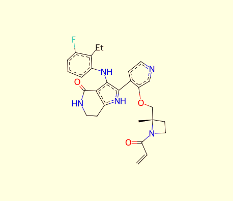 C=CC(=O)N1CC[C@@]1(C)COc1cnccc1-c1[nH]c2c(c1Nc1cccc(F)c1CC)C(=O)NCC2